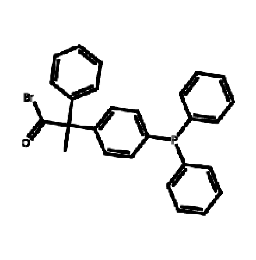 CC(C(=O)Br)(c1ccccc1)c1ccc(P(c2ccccc2)c2ccccc2)cc1